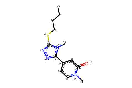 CCCCSc1nnc(-c2ccn(C)c(=O)c2)n1C